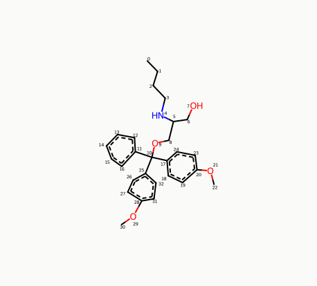 CCCCNC(CO)COC(c1ccccc1)(c1ccc(OC)cc1)c1ccc(OC)cc1